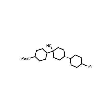 CCCCCC1CCC([C@]2(C#N)CC[C@@H](C3CCC(CCC)CC3)CC2)CC1